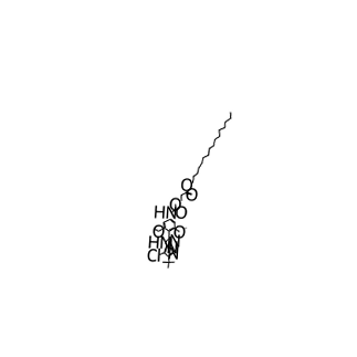 CCCCCCCCCCCCCCCCOC(=O)CCOC(=O)Nc1cc(OC)c(-c2nn3nc(C(C)(C)C)c(Cl)c3[nH]2)c(OC)c1